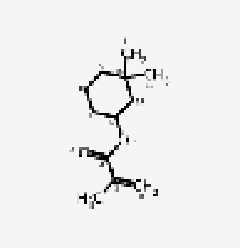 C=C(C)C(=O)OC1CCCC(C)(C)C1